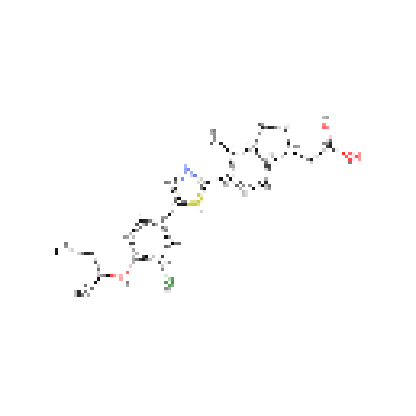 CCC(C)Oc1ccc(-c2cnc(-c3ccc4c(c3C)CCC4CC(=O)O)s2)cc1Cl